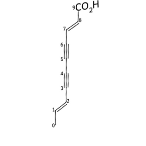 C/C=C/C#CC#C/C=C/C(=O)O